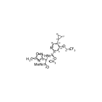 CNC(=O)[C@](C)(NC(=O)c1cc(OCC(F)(F)F)c(C2CC2)cn1)c1noc(C)n1